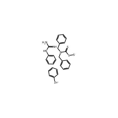 N=C(N)Nc1ccccc1.S=C(S[S-])N(Cc1ccccc1)Cc1ccccc1.[Zn+][c]1ccccc1